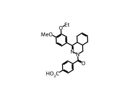 CCOc1cc(C2=NN(C(=O)c3ccc(C(=O)O)cc3)CC3CC=CCC23)ccc1OC